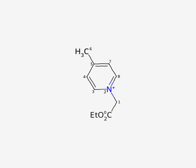 CCOC(=O)C[n+]1ccc(C)cc1